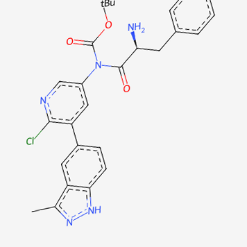 Cc1n[nH]c2ccc(-c3cc(N(C(=O)OC(C)(C)C)C(=O)[C@@H](N)Cc4ccccc4)cnc3Cl)cc12